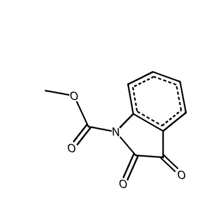 COC(=O)N1C(=O)C(=O)c2ccccc21